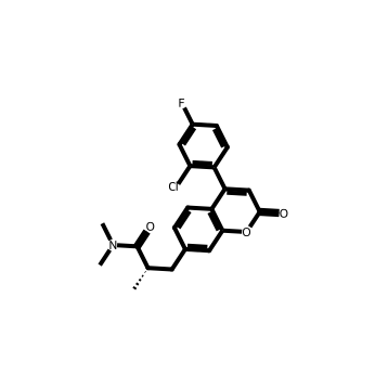 C[C@@H](Cc1ccc2c(-c3ccc(F)cc3Cl)cc(=O)oc2c1)C(=O)N(C)C